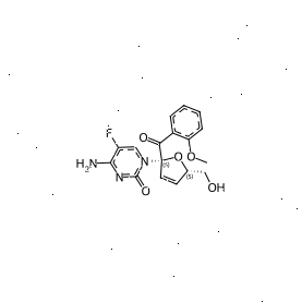 COc1ccccc1C(=O)[C@]1(n2cc(F)c(N)nc2=O)C=C[C@@H](CO)O1